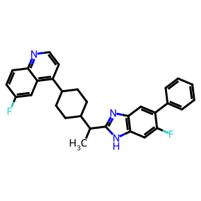 CC(c1nc2cc(-c3ccccc3)c(F)cc2[nH]1)C1CCC(c2ccnc3ccc(F)cc23)CC1